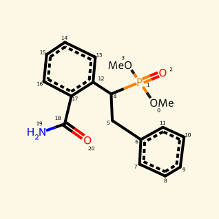 COP(=O)(OC)C(Cc1ccccc1)c1ccccc1C(N)=O